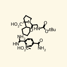 CC(=O)O.CC(C)(C)OC(=O)NCC(=O)N1CCC[C@]1(C(=O)O)C1CCCCC1.N=C(N)c1ccc(C(N)=O)cn1